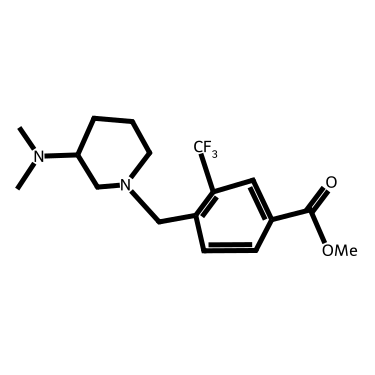 COC(=O)c1ccc(CN2CCCC(N(C)C)C2)c(C(F)(F)F)c1